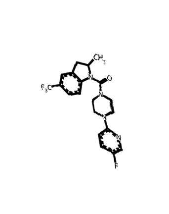 CC1Cc2cc(C(F)(F)F)ccc2N1C(=O)N1CCN(c2ccc(F)cn2)CC1